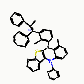 C/C(=C(/C1=CC=CCC=C1)c1cccc(B2c3sc4ccccc4c3N(c3ccccc3)c3cccc(C)c32)c1C)c1ccccc1